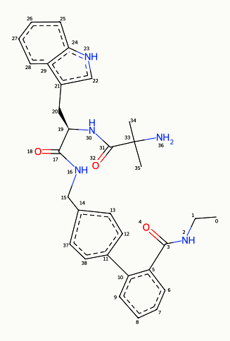 CCNC(=O)c1ccccc1-c1ccc(CNC(=O)[C@@H](Cc2c[nH]c3ccccc23)NC(=O)C(C)(C)N)cc1